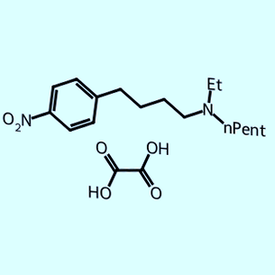 CCCCCN(CC)CCCCc1ccc([N+](=O)[O-])cc1.O=C(O)C(=O)O